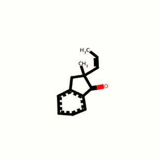 C/C=C\C1(C)Cc2ccccc2C1=O